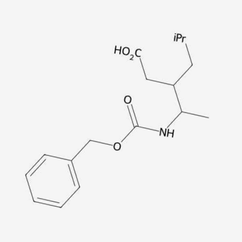 CC(C)CC(CC(=O)O)C(C)NC(=O)OCc1ccccc1